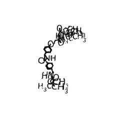 CC(C)(C)OC(=O)NCc1ccc(C(=O)NCc2ccc(OCCC(=O)N3CC(=O)[C@H](O[Si](C)(C)C(C)(C)C)C3)cc2)cc1